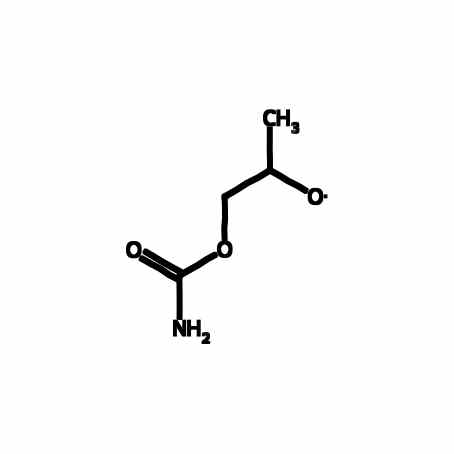 CC([O])COC(N)=O